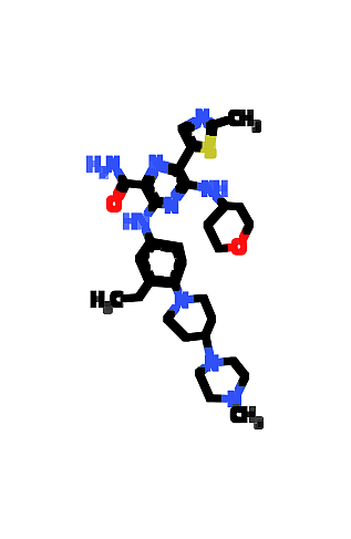 CCc1cc(Nc2nc(NC3CCOCC3)c(-c3cnc(C)s3)nc2C(N)=O)ccc1N1CCC(N2CCN(C)CC2)CC1